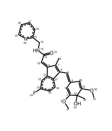 COC1=CC(=CC2=C(C)C(=CC(=O)NCc3ccccn3)c3cc(F)ccc32)C=C(OC)C1(C)O